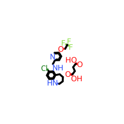 FC(F)(F)COc1ccc(CNc2c(Cl)ccc3c2CCCCN3)nc1.O=C(O)CCC(=O)O